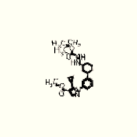 CCOC(=O)c1cnn(-c2cccc([C@@H]3CCC[C@H](NNC(=O)OC(C)(C)C)C3)c2)c1C1CC1